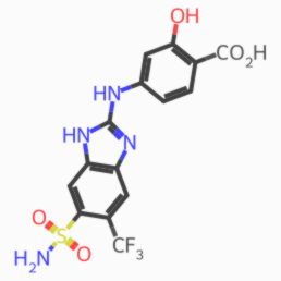 NS(=O)(=O)c1cc2[nH]c(Nc3ccc(C(=O)O)c(O)c3)nc2cc1C(F)(F)F